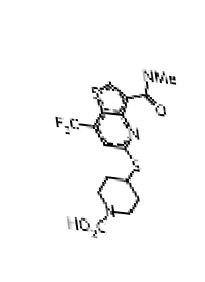 CNC(=O)c1csc2c(C(F)(F)F)cc(SC3CCN(C(=O)O)CC3)nc12